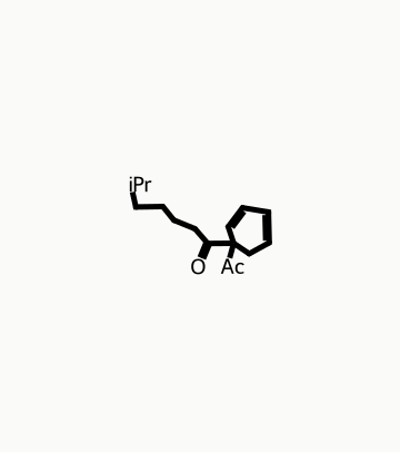 CC(=O)C1(C(=O)CCCCC(C)C)C=CC=CC1